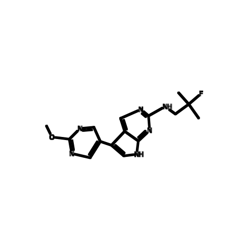 COc1ncc(-c2c[nH]c3nc(NCC(C)(C)F)ncc23)cn1